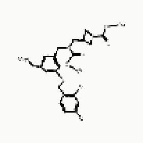 CNCc1cc(CN(CC2CN(C(=O)OC(C)(C)C)C2)C(=O)OC(C)(C)C)cc(OCc2ccc(Cl)cc2Br)c1